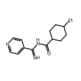 CCC1CCC(C(=O)NC(=N)c2ccncc2)CC1